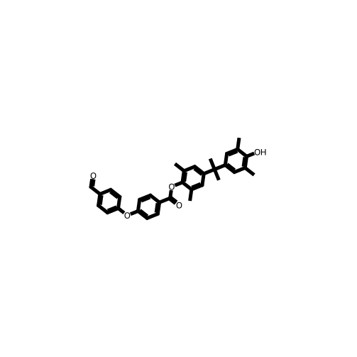 Cc1cc(C(C)(C)c2cc(C)c(OC(=O)c3ccc(Oc4ccc(C=O)cc4)cc3)c(C)c2)cc(C)c1O